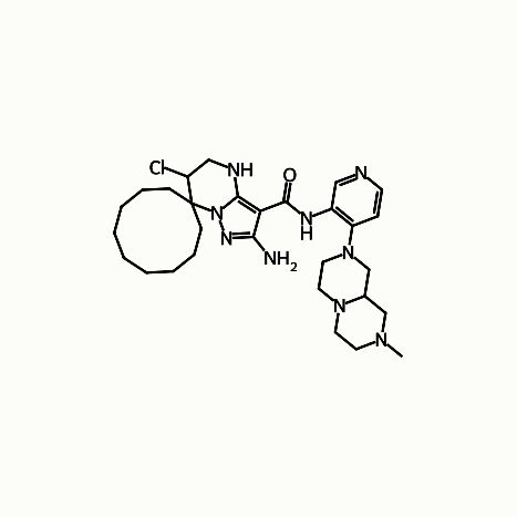 CN1CCN2CCN(c3ccncc3NC(=O)c3c(N)nn4c3NCC(Cl)C43CCCCCCCCC3)CC2C1